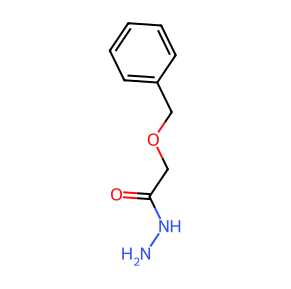 NNC(=O)COCc1ccccc1